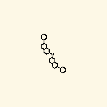 c1ccc(-c2ccc3ccc(Nc4ccc5ccc(-c6ccccc6)cc5c4)cc3c2)cc1